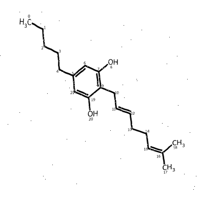 CCCCCc1cc(O)c(C/C=C/CCC=C(C)C)c(O)c1